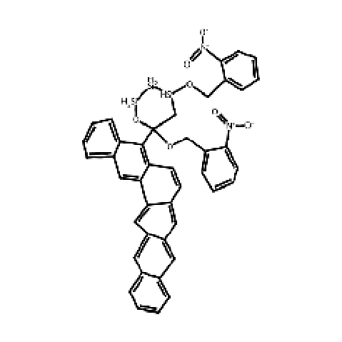 O=[N+]([O-])c1ccccc1CO[SiH]1CC(OCc2ccccc2[N+](=O)[O-])(c2c3ccccc3cc3c2ccc2cc4cc5ccccc5cc4cc23)O[SiH2][SiH2]1